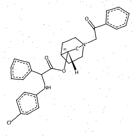 O=C(C[N+]12CCC(CC1)[C@@H](OC(=O)C(Nc1ccc(Cl)cc1)c1ccccc1)C2)c1ccccc1